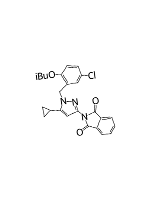 CC(C)COc1ccc(Cl)cc1Cn1nc(N2C(=O)c3ccccc3C2=O)cc1C1CC1